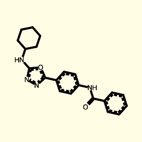 O=C(Nc1ccc(-c2nnc(NC3CCCCC3)o2)cc1)c1ccccc1